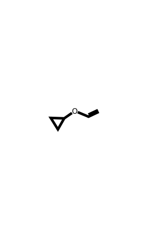 C=COC1CC1